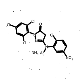 CC(=O)N(C1=NN(c2c(Cl)cc(Cl)cc2Cl)C(=O)C1)c1cc([N+](=O)[O-])ccc1Cl.N